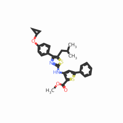 COC(=O)c1sc(-c2ccccc2)cc1Nc1nc(-c2ccc(OC3CC3)cc2)c(CC(C)C)s1